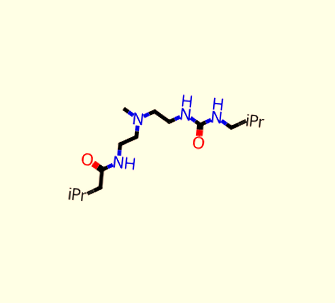 CC(C)CNC(=O)NCCN(C)CCNC(=O)CC(C)C